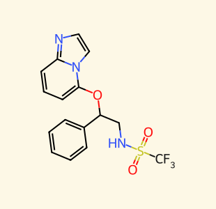 O=S(=O)(NCC(Oc1cccc2nccn12)c1ccccc1)C(F)(F)F